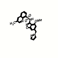 COc1cc(Cn2cccn2)cc2onc(NS(=O)(=O)c3cccc4cc(C)cnc34)c12